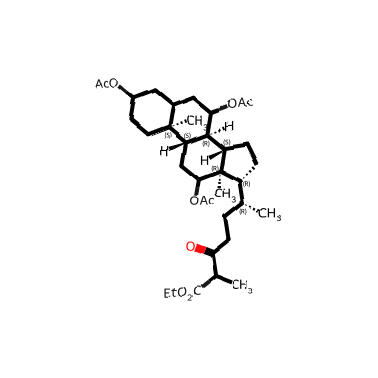 CCOC(=O)C(C)C(=O)CC[C@@H](C)[C@H]1CC[C@H]2[C@@H]3C(OC(C)=O)CC4CC(OC(C)=O)CC[C@]4(C)[C@H]3CC(OC(C)=O)[C@]12C